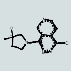 C[C@]1(O)CCN(c2nnc(Cl)c3ccncc23)C1